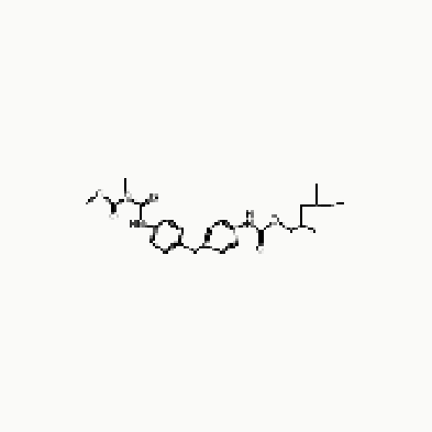 CCC(C)CC(C)COC(=O)Nc1ccc(Cc2ccc(NC(=O)N(C)C(=O)OC)cc2)cc1